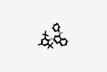 Cc1cc(C(C)(C)C)c(O)c(C(C)(C)C)c1.c1ccc(Nc2cccc3ccccc23)cc1